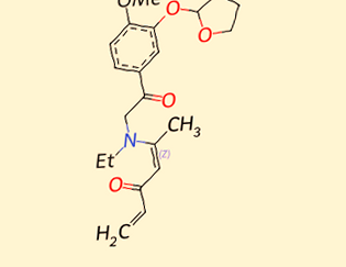 C=CC(=O)/C=C(/C)N(CC)CC(=O)c1ccc(OC)c(OC2CCCO2)c1